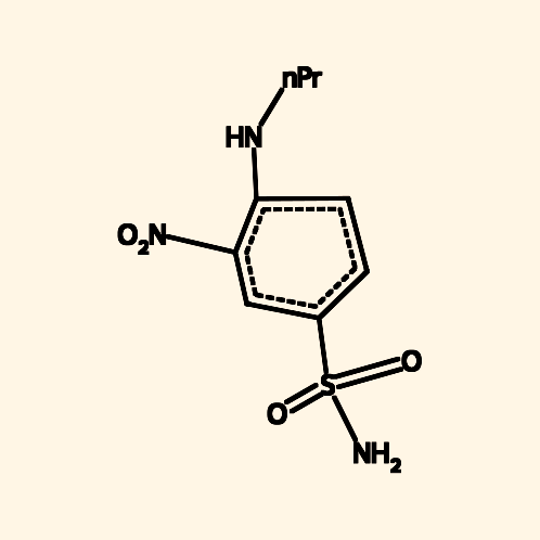 [CH2]CCNc1ccc(S(N)(=O)=O)cc1[N+](=O)[O-]